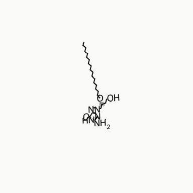 CCCCCCCCCCCCCCCCCCOC[C@H](CCO)Cn1cnc2c(=O)[nH]c(N)nc21